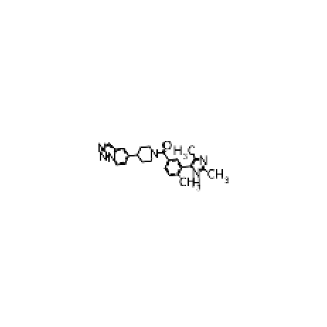 Cc1nc(C)c(-c2cc(C(=O)N3CCC(c4ccn5nncc5c4)CC3)ccc2C)[nH]1